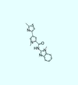 Cc1nc(-c2cc(C(=O)Nc3nc4ccccc4n3C)n(C)c2)cs1